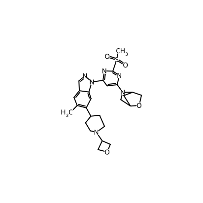 Cc1cc2cnn(-c3cc(N4CC5CC4CO5)nc(S(C)(=O)=O)n3)c2cc1C1CCN(C2COC2)CC1